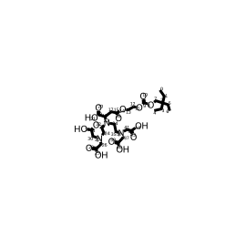 CCC(CC)(CC)COC(=O)OCCOC(=O)CC(C(=O)O)N(CCN(CC(=O)O)CC(=O)O)CCN(CC(=O)O)CC(=O)O